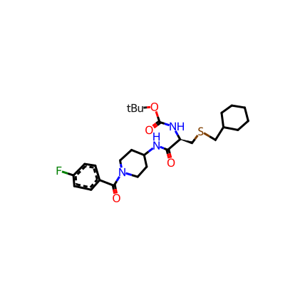 CC(C)(C)OC(=O)N[C@@H](CSCC1CCCCC1)C(=O)NC1CCN(C(=O)c2ccc(F)cc2)CC1